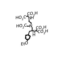 CCOc1ccc(CC(CN(CCNC(C(=O)O)C(=O)O)CC(=O)O)NC(C(=O)O)C(=O)O)cc1